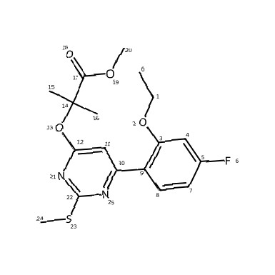 CCOc1cc(F)ccc1-c1cc(OC(C)(C)C(=O)OC)nc(SC)n1